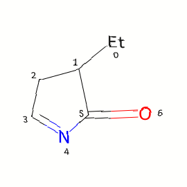 CCC1CC=NC1=O